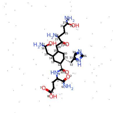 NC(=O)C(CCC(=O)O)NC(=O)[C@H]1CC(CC(N)O)C(CC(=O)C(N)CCC(N)O)C[C@@H]1Cc1cnc[nH]1